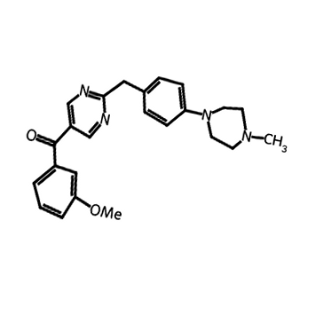 COc1cccc(C(=O)c2cnc(Cc3ccc(N4CCN(C)CC4)cc3)nc2)c1